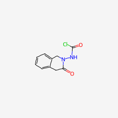 O=C(Cl)NN1Cc2ccccc2CC1=O